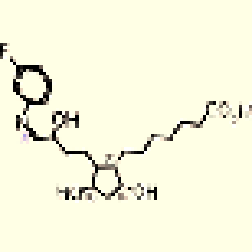 O=C(O)CCCCCC[C@@H]1C(CCC(O)/C=N\c2cccc(F)c2)[C@H](O)C[C@@H]1O